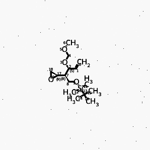 C=C[C@H](OCOC)[C@@H](CO[Si](C)(C)C(C)(C)C)[C@@H]1CO1